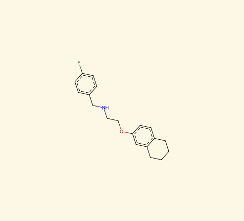 Fc1ccc(CNCCOc2ccc3c(c2)CCCC3)cc1